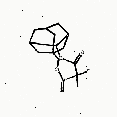 C=COCC12CC3CC(C1)C(OC(=O)C(C)(F)F)C(C3)C2